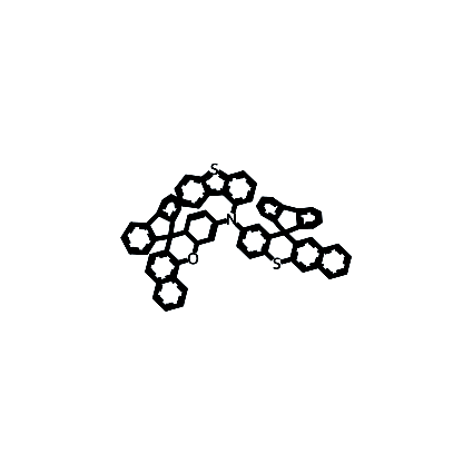 C1=CC2C(C=C1N(c1ccc3c(c1)C1(c4cc5ccccc5cc4S3)c3ccccc3-c3ccccc31)c1cccc3sc4ccccc4c13)Oc1c(ccc3ccccc13)C21c2ccccc2-c2ccccc21